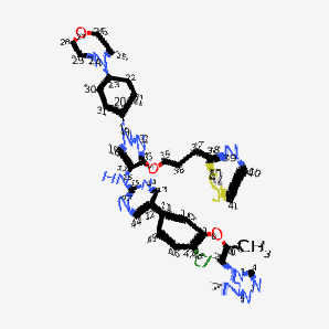 C[C@@H](Cn1cnnn1)Oc1cc(-c2cnc(Nc3cn([C@H]4CC[C@H](N5CCOCC5)CC4)nc3OCCCc3nccs3)nc2)ccc1Cl